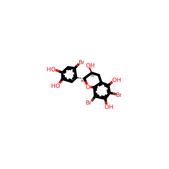 Oc1cc(Br)c([C@H]2Oc3c(Br)c(O)c(Br)c(O)c3C[C@@H]2O)cc1O